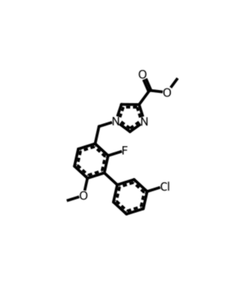 COC(=O)c1cn(Cc2ccc(OC)c(-c3cccc(Cl)c3)c2F)cn1